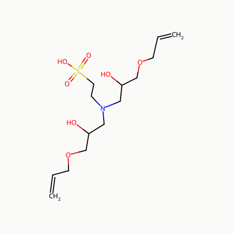 C=CCOCC(O)CN(CCS(=O)(=O)O)CC(O)COCC=C